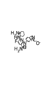 COCCn1ncc2ccc(Nc3nc(NC4CCCC[C@@H]4N)c(F)cc3C(N)=O)cc21